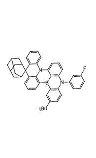 CC(C)(C)c1ccc2c(c1)B1c3cccc4c3N(c3ccccc3C43C4CC5CC(C4)CC3C5)c3cccc(c31)N2c1cccc(F)c1